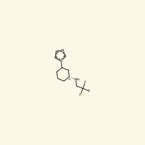 FC(F)(F)CN[C@@H]1CC[CH]C(n2ccnc2)C1